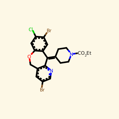 CCOC(=O)N1CCC(=C2c3cc(Br)c(Cl)cc3OCc3cc(Br)cnc32)CC1